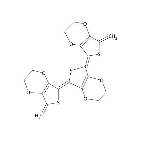 C=c1s/c(=c2/s/c(=c3/sc(=C)c4c3OCCO4)c3c2OCCO3)c2c1OCCO2